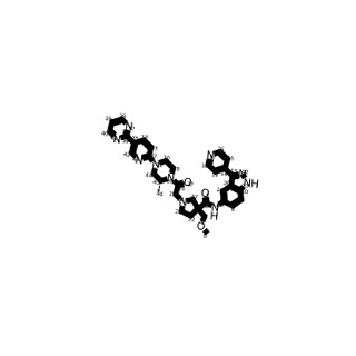 COCC1(C(=O)Nc2ccc3[nH]nc(-c4ccncc4)c3c2)CCN(CC(=O)N2CCN(c3ccc(-c4ncccn4)cn3)C[C@H]2C)C1